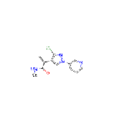 C=C(C(=O)NCC)c1cn(-c2cccnc2)nc1Cl